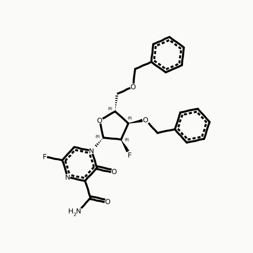 NC(=O)c1nc(F)cn([C@@H]2O[C@H](COCc3ccccc3)[C@@H](OCc3ccccc3)[C@H]2F)c1=O